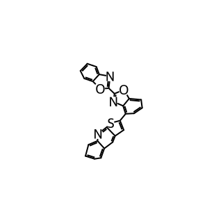 c1ccc2nc3sc(-c4cccc5oc(-c6nc7ccccc7o6)nc45)cc3cc2c1